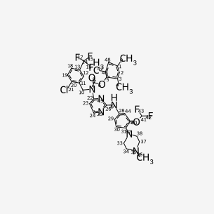 Cc1cc(C)c(OC(=O)N(Cc2cc(C(F)(F)F)ccc2Cl)c2ccnc(Nc3ccc(N4CCN(C)CC4)c(OC(F)F)c3)n2)c(C)c1